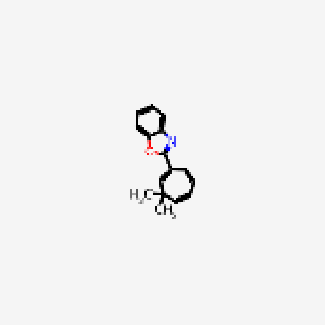 CC1(C)C=CC=CC(c2nc3ccccc3o2)=C1